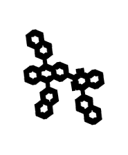 c1ccc2cc(-c3nc(-c4ccc5c(-c6ccc7ccccc7c6)c6ccccc6c(-c6ccc7ccccc7c6)c5c4)nc4ccccc34)ccc2c1